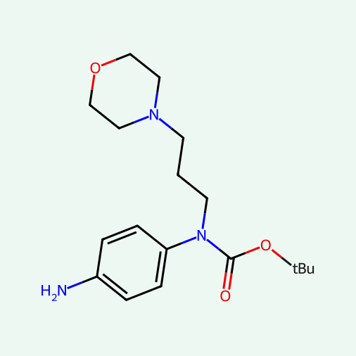 CC(C)(C)OC(=O)N(CCCN1CCOCC1)c1ccc(N)cc1